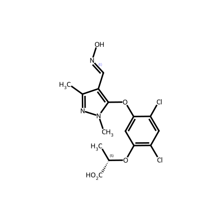 Cc1nn(C)c(Oc2cc(O[C@@H](C)C(=O)O)c(Cl)cc2Cl)c1/C=N/O